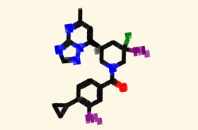 Cc1cc([C@@H]2CN(C(=O)c3ccc(C4CC4)c(P)c3)CC(F)(P)C2)n2ncnc2n1